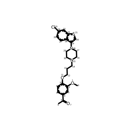 COc1cc(C(C)=O)ccc1OCCCN1CCN(c2csc3cc(Cl)ccc23)CC1